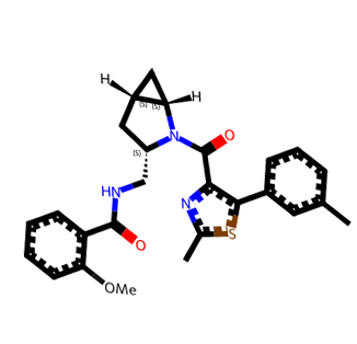 COc1ccccc1C(=O)NC[C@@H]1C[C@@H]2C[C@@H]2N1C(=O)c1nc(C)sc1-c1cccc(C)c1